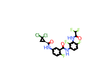 O=C(Nc1ccc(F)c(NC(=O)C(F)F)c1F)c1cc(NC(=O)[C@H]2CC2(Cl)Cl)ccc1F